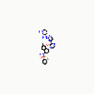 Cc1ccc2c(NS(=O)(=O)c3ccccc3Cl)cccc2c1Oc1nccnc1-c1ccnc(N[C@H]2CCCNC2)n1